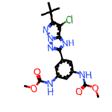 COC(=O)Nc1cc(NC(=O)OC)cc(-c2nn3nc(C(C)(C)C)c(Cl)c3[nH]2)c1